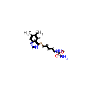 Cc1cc2ncnc(SCCCCCNS(N)(=O)=O)c2cc1C